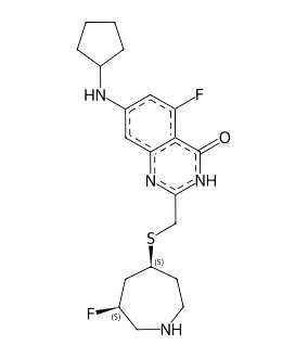 O=c1[nH]c(CS[C@H]2CCNC[C@@H](F)C2)nc2cc(NC3CCCC3)cc(F)c12